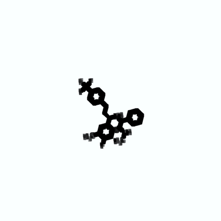 CNC(=O)C(N[C@H](CCc1ccc(C(F)(F)F)cc1)c1ccc(F)c(C)c1)c1ccccc1